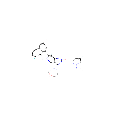 CCc1c(F)ccc2cc(O)cc(-c3ncc4c(N5CCCOCC5)nc(OC[C@@H]5C[C@@H](F)CN5C)nc4c3F)c12